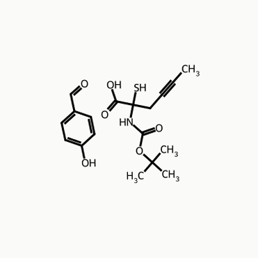 CC#CCC(S)(NC(=O)OC(C)(C)C)C(=O)O.O=Cc1ccc(O)cc1